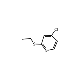 CCSc1[c]c(Cl)ccn1